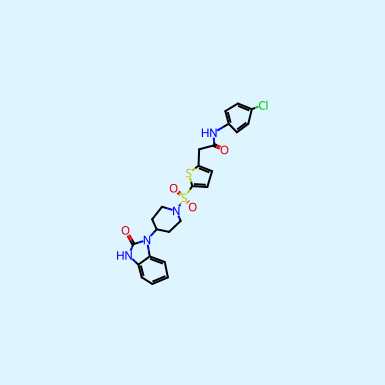 O=C(Cc1ccc(S(=O)(=O)N2CCC(n3c(=O)[nH]c4ccccc43)CC2)s1)Nc1ccc(Cl)cc1